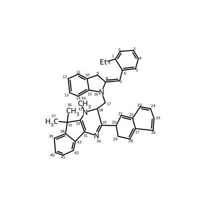 CCc1ccccc1/C=C1\Cc2ccccc2N1CC1C(C2C=c3ccccc3=CC2)=NC2=C(N1C)C(C)(C)c1ccccc12